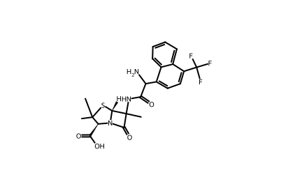 CC1(C)S[C@H]2N(C(=O)C2(C)NC(=O)C(N)c2ccc(C(F)(F)F)c3ccccc23)[C@H]1C(=O)O